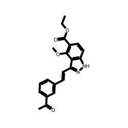 CCOC(=O)c1ccc2[nH]nc(/C=C/c3cccc(C(C)=O)c3)c2c1OC